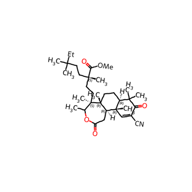 CCC(C)(C)CC[C@@](C)(CC[C@]1(C)C(C)OC(=O)C[C@@H]2[C@@]3(C)C=C(C#N)C(=O)C(C)(C)[C@@H]3CC[C@]21C)C(=O)OC